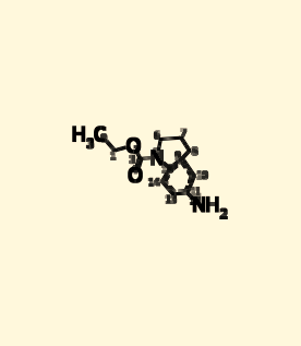 CCOC(=O)N1CCCc2cc(N)ccc21